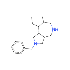 CCC1C(C)CNCC2CN(Cc3ccccc3)CC21